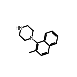 Cc1ccc2ccccc2c1N1CCNCC1